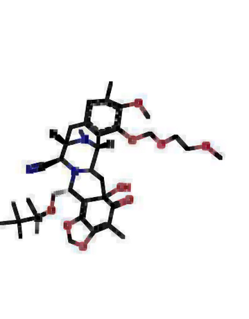 COCCOCOc1c(OC)c(C)cc2c1[C@@H]1C3CC4(O)C(=O)C(C)=C5OCOC5=C4[C@H](CO[Si](C)(C)C(C)(C)C)N3[C@@H](C#N)[C@H](C2)N1C